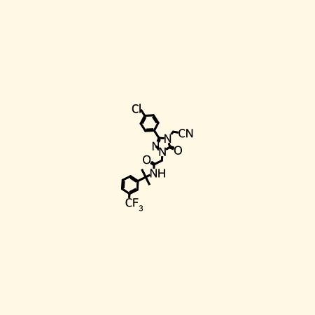 CC(C)(NC(=O)Cn1nc(-c2ccc(Cl)cc2)n(CC#N)c1=O)c1cccc(C(F)(F)F)c1